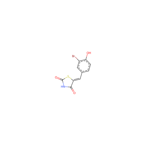 O=C1NC(=O)C(=Cc2ccc(O)c(Br)c2)S1